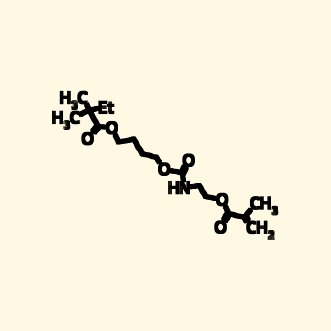 C=C(C)C(=O)OCCNC(=O)OCCCCOC(=O)C(C)(C)CC